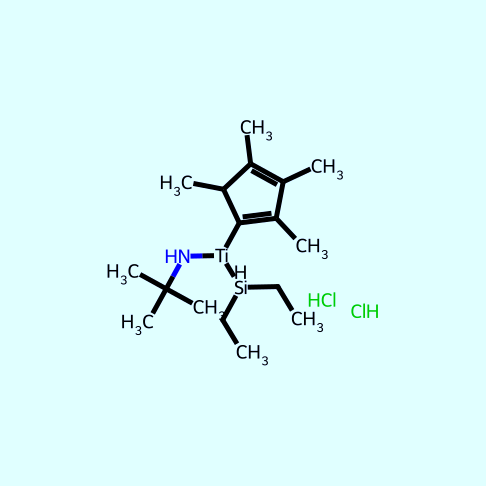 CC[SiH](CC)[Ti]([NH]C(C)(C)C)[C]1=C(C)C(C)=C(C)C1C.Cl.Cl